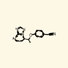 CC(Oc1ccc(C#N)cc1)c1ccnc2ncnn12